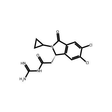 N=C(N)NC(=O)C[C@H]1c2cc(Cl)c(Cl)cc2C(=O)N1C1CC1